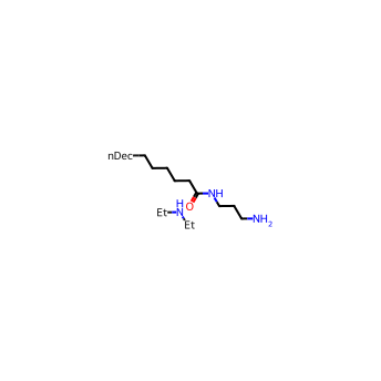 CCCCCCCCCCCCCCCC(=O)NCCCN.CCNCC